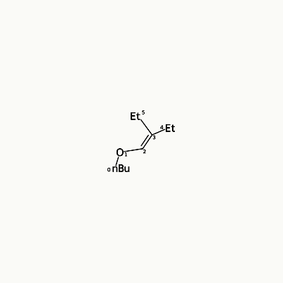 CCCCOC=C(CC)CC